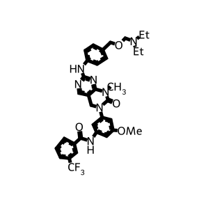 CCN(CC)COCc1ccc(Nc2ncc3c(n2)N(C)C(=O)N(c2cc(NC(=O)c4cccc(C(F)(F)F)c4)cc(OC)c2)C3)cc1